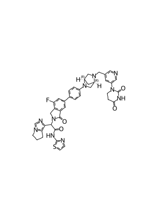 O=C1CCN(c2cncc(CN3C[C@H]4C[C@@H]3CN4c3ccc(-c4cc(F)c5c(c4)C(=O)N(C(C(=O)Nc4nccs4)c4ncn6c4CCC6)C5)cc3)c2)C(=O)N1